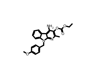 CCOC(=O)Oc1c(C)nc2c(c1N)c1ccccc1n2Cc1ccc(OC)cc1